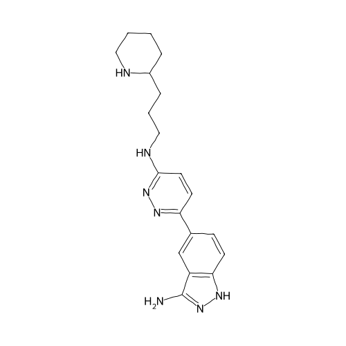 Nc1n[nH]c2ccc(-c3ccc(NCCCC4CCCCN4)nn3)cc12